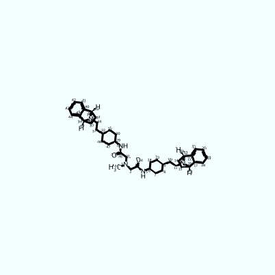 CN(CC(=O)NC1CCC(CCN2[C@@H]3CC[C@H]2c2ccccc23)CC1)CC(=O)NC1CCC(CCN2[C@@H]3CC[C@H]2c2ccccc23)CC1